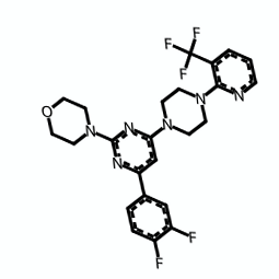 Fc1ccc(-c2cc(N3CCN(c4ncccc4C(F)(F)F)CC3)nc(N3CCOCC3)n2)cc1F